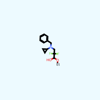 CCOC(O)C(F)(F)CN(Cc1ccccc1)C1CC1